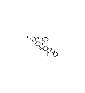 CCS(=O)(=O)c1ccc(Oc2cc(Cc3cccnc3F)c3nc(-c4ccccn4)[nH]c3c2)cn1